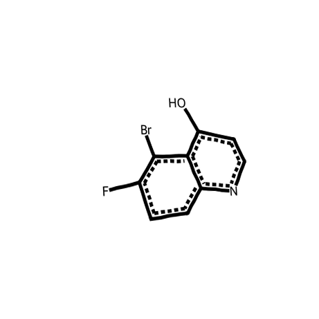 Oc1ccnc2ccc(F)c(Br)c12